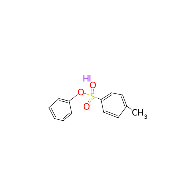 Cc1ccc(S(=O)(=O)Oc2ccccc2)cc1.I